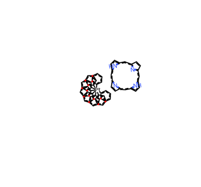 C1=Cc2cc3ccc(cc4nc(cc5ccc(cc1n2)[nH]5)C=C4)[nH]3.c1cc[c]([Pt]([c]2ccccc2)([c]2ccccc2)([c]2ccccc2)([c]2ccccc2)([c]2ccccc2)([c]2ccccc2)[c]2ccccc2)cc1